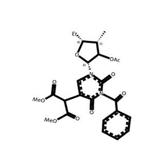 CC[C@H]1O[C@@H](n2cc(C(C(=O)OC)C(=O)OC)c(=O)n(C(=O)c3ccccc3)c2=O)C(OC(C)=O)[C@H]1C